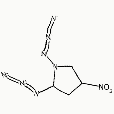 [N-]=[N+]=NC1CC([N+](=O)[O-])CN1N=[N+]=[N-]